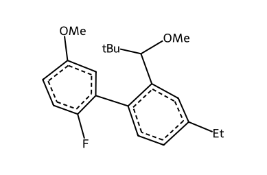 CCc1ccc(-c2cc(OC)ccc2F)c(C(OC)C(C)(C)C)c1